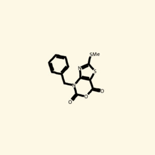 CSc1nc2c(s1)c(=O)oc(=O)n2Cc1ccccc1